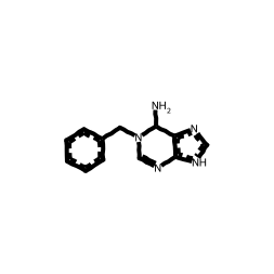 NC1c2nc[nH]c2N=CN1Cc1ccccc1